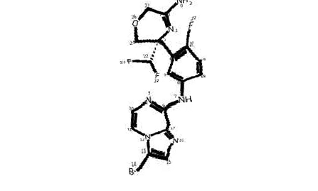 NC1=N[C@](c2cc(Nc3nccn4c(Br)cnc34)ccc2F)(C(F)F)COC1